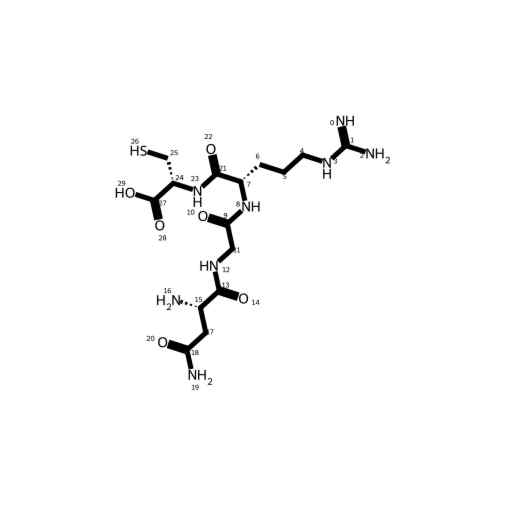 N=C(N)NCCC[C@H](NC(=O)CNC(=O)[C@@H](N)CC(N)=O)C(=O)N[C@@H](CS)C(=O)O